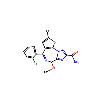 CCOC1N=C(c2ccccc2Cl)c2cc(CC)sc2-n2nc(C(N)=O)nc21